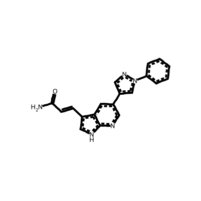 NC(=O)/C=C/c1c[nH]c2ncc(-c3cnn(-c4ccccc4)c3)cc12